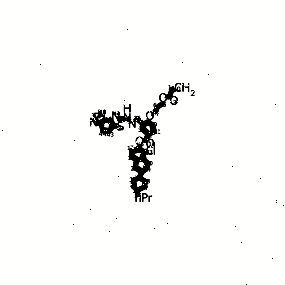 C=CC(=O)OCCCOc1ccc(C(=O)Oc2ccc3cc(C4CCC(CCC)CC4)ccc3c2Cl)cc1/C=N/Nc1nc2c(ccc3nsnc32)s1